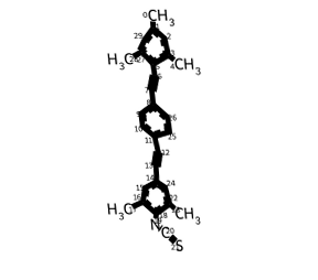 Cc1cc(C)c(C#Cc2ccc(C#Cc3cc(C)c(N=C=S)c(C)c3)cc2)c(C)c1